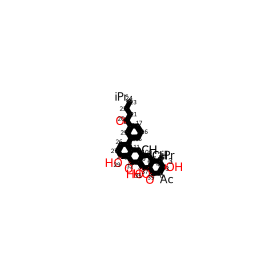 CC(=O)C1=C(O)C(C(C)C)[C@@]2(C)C[C@@]3(C)Cc4c(-c5cccc(C(=O)CCCC(C)C)c5)ccc(O)c4C(=O)C3=C(O)[C@@]2(O)C1=O